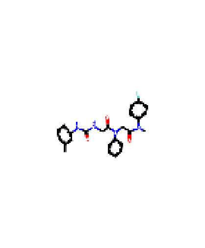 Cc1cccc(NC(=O)NCC(=O)N(CC(=O)N(C)c2ccc(F)cc2)c2ccccc2)c1